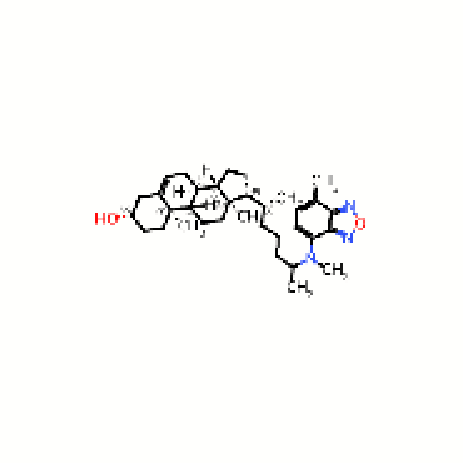 Cc1ccc(N(C)C(C)CCC[C@@H](C)[C@H]2CC[C@H]3[C@@H]4CC=C5C[C@@H](O)CC[C@]5(C)[C@H]4CC[C@]23C)c2nonc12